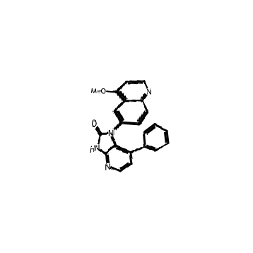 COc1ccnc2ccc(-n3c(=O)[nH]c4nccc(-c5ccccc5)c43)cc12